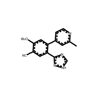 Cc1cc(-c2cc(OCC(C)C)c(C#N)cc2-c2nc[nH]n2)ccn1